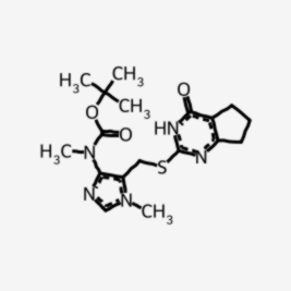 CN(C(=O)OC(C)(C)C)c1ncn(C)c1CSc1nc2c(c(=O)[nH]1)CCC2